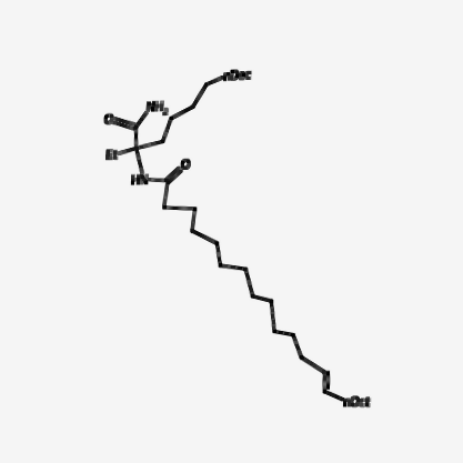 CCCCCCCCC=CCCCCCCCCCCCC(=O)NC(CC)(CCCCCCCCCCCCCC)C(N)=O